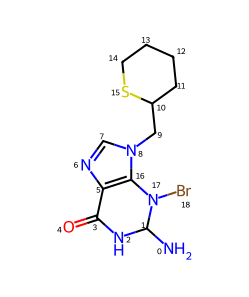 NC1NC(=O)c2ncn(CC3CCCCS3)c2N1Br